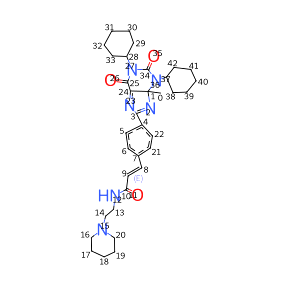 CC12N=C(c3ccc(/C=C/C(=O)NCCN4CCCCC4)cc3)N=C1C(=O)N(C1CCCCC1)C(=O)N2C1CCCCC1